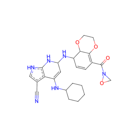 N#Cc1c[nH]c2c1C(NC1CCCCC1)=CC(NC1C=CC(C(=O)N3CO3)=C3OCCOC31)N2